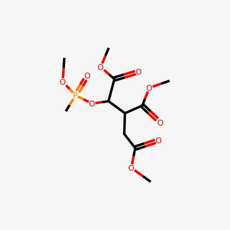 COC(=O)CC(C(=O)OC)C(OP(C)(=O)OC)C(=O)OC